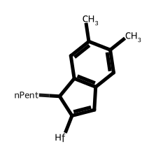 CCCCCC1[C]([Hf])=Cc2cc(C)c(C)cc21